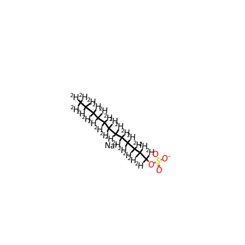 [2H]C([2H])([2H])C([2H])([2H])C([2H])([2H])C([2H])([2H])C([2H])([2H])C([2H])([2H])C([2H])([2H])C([2H])([2H])C([2H])([2H])C([2H])([2H])C([2H])([2H])C([2H])([2H])OS(=O)(=O)[O-].[Na+]